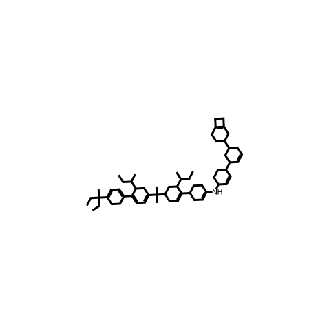 CCC(C)C1CC(C(C)(C)C2CC=C(C3CC=C(NC4C=CC(C5C=CCC(C6CCC7=C(CC7)C6)C5)CC4)CC3)C(C(C)CC)C2)=CC=C1C1=CC=C(C(C)(CC)CC)CC1